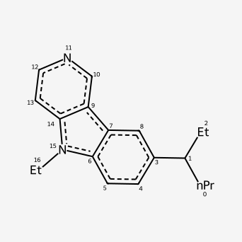 CCCC(CC)c1ccc2c(c1)c1cnccc1n2CC